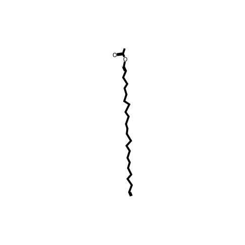 C=CCCCCCCCCCCCCCCCCCCCCC=[C]OC(C)=O